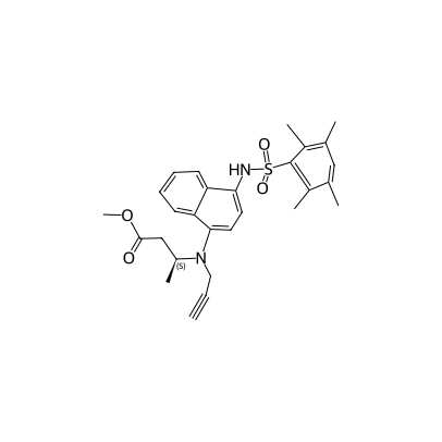 C#CCN(c1ccc(NS(=O)(=O)c2c(C)c(C)cc(C)c2C)c2ccccc12)[C@@H](C)CC(=O)OC